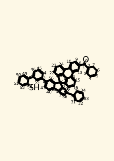 O=C(C1=CC=CCC1)c1ccc2c(c1)c1cccc3c1c1c(cccc21)C31c2cc(-c3ccccc3)ccc2-c2ccc(-c3cccc(-c4ccccc4S)c3)cc21